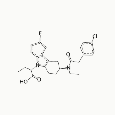 CCC(C(=O)O)n1c2c(c3cc(F)ccc31)C[C@@H](N(CC)C(=O)Cc1ccc(Cl)cc1)CC2